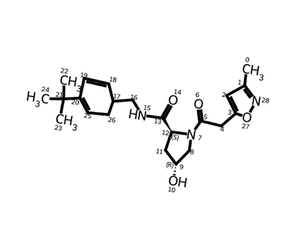 Cc1cc(CC(=O)N2C[C@H](O)C[C@H]2C(=O)NCC2C=CC(C(C)(C)C)=CC2)on1